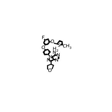 Cc1ccc(COc2cc(F)cc(Oc3ccc(-n4nc(C5CCOCC5)c5ncnc(N)c54)cc3)c2)s1